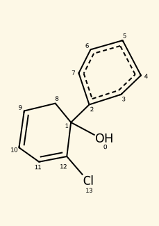 OC1(c2ccccc2)CC=CC=C1Cl